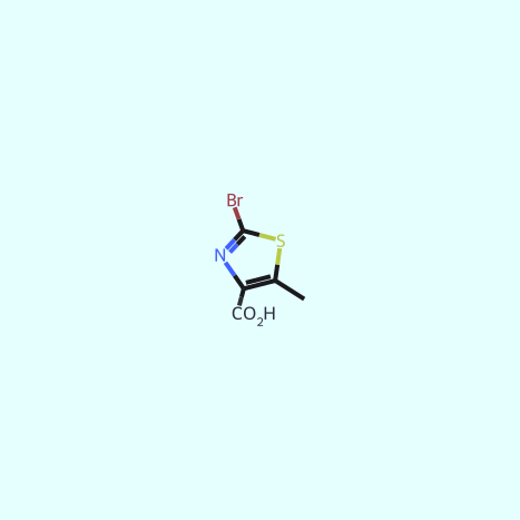 Cc1sc(Br)nc1C(=O)O